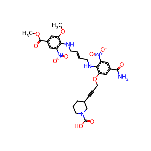 COC(=O)c1cc(OC)c(NCC=CCNc2c(OCC#CC3CCCN(C(=O)O)C3)cc(C(N)=O)cc2[N+](=O)[O-])c([N+](=O)[O-])c1